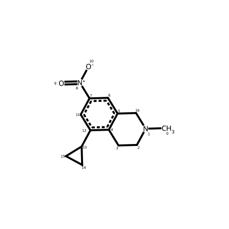 CN1CCc2c(cc([N+](=O)[O-])cc2C2CC2)C1